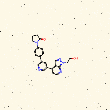 O=C1CCCN1c1ccc(-c2cncc(-c3ccnc4c3cnn4CCO)c2)cc1